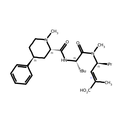 C/C(=C\[C@H](C(C)C)N(C)C(=O)[C@@H](NC(=O)[C@@H]1C[C@@H](c2ccccc2)CCN1C)C(C)(C)C)C(=O)O